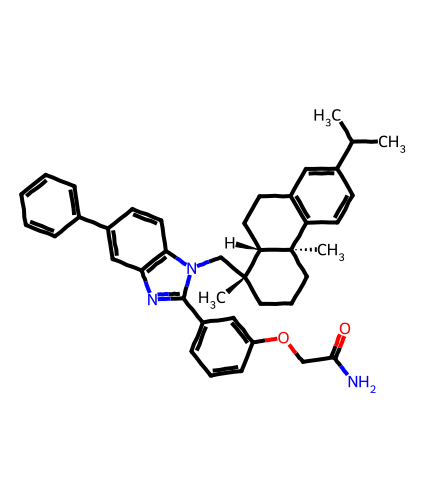 CC(C)c1ccc2c(c1)CC[C@H]1[C@@](C)(Cn3c(-c4cccc(OCC(N)=O)c4)nc4cc(-c5ccccc5)ccc43)CCC[C@]21C